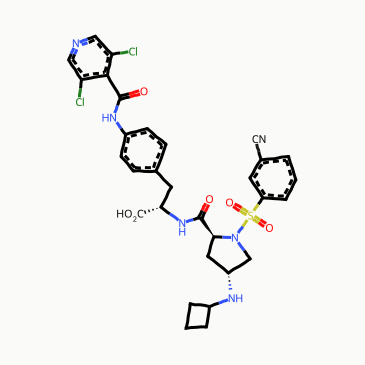 N#Cc1cccc(S(=O)(=O)N2C[C@H](NC3CCC3)C[C@H]2C(=O)N[C@@H](Cc2ccc(NC(=O)c3c(Cl)cncc3Cl)cc2)C(=O)O)c1